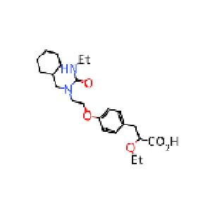 CCNC(=O)N(CCOc1ccc(CC(OCC)C(=O)O)cc1)CC1CCCCC1